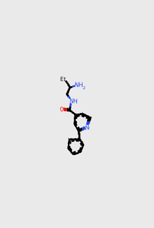 CCC(N)CNC(=O)c1ccnc(-c2ccccc2)c1